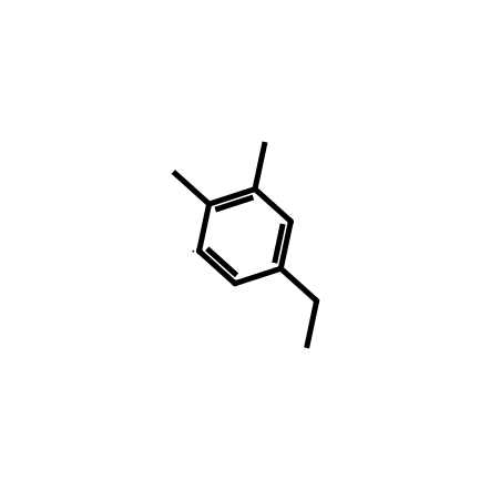 CCc1c[c]c(C)c(C)c1